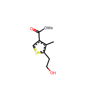 COC(=O)c1csc(CCO)c1C